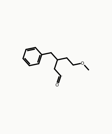 COCCC(C[C]=O)Cc1ccccc1